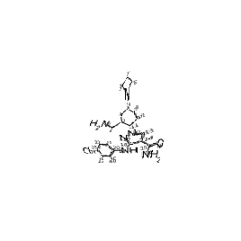 NC[C@H]1C[C@H](N2CCC2)CC[C@@H]1n1cc(C(N)=O)c(Nc2ccc(Cl)cc2)n1